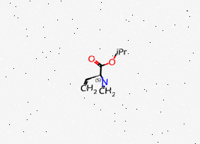 C=C[C@H](N=C)C(=O)OC(C)C